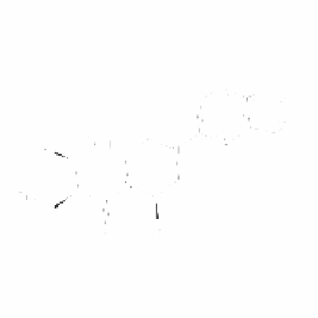 CC(C)C[C@H](C(=O)N1CCN(c2ccc3occc3c2)C[C@H]1C)[C@H](O)C(=O)O